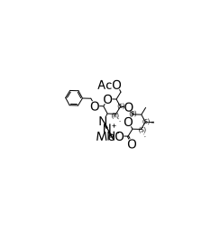 COC(=O)C1O[C@@H](O[C@@H]2C(COC(C)=O)OC(OCc3ccccc3)C(N=[N+]=[N-])[C@H]2C)C(C)[C@@H](C)[C@@H]1C